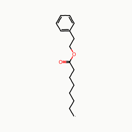 [CH2]CCCCCCC(=O)OCCc1ccccc1